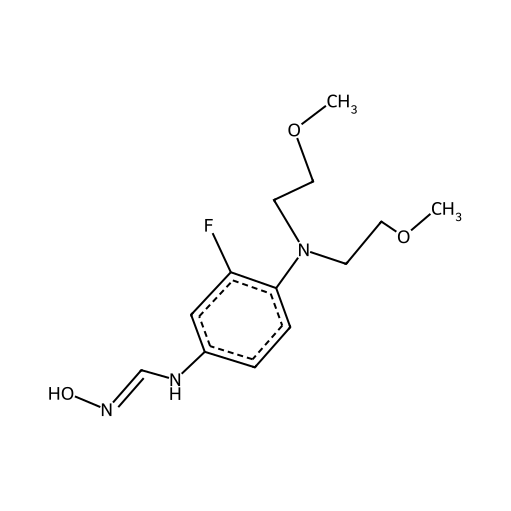 COCCN(CCOC)c1ccc(N/C=N/O)cc1F